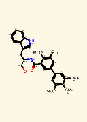 COc1cc(-c2cc(C)c(OC)c(C(=O)N[C@@H](CO)Cc3c[nH]c4ccccc34)c2)cc(OC)c1OC